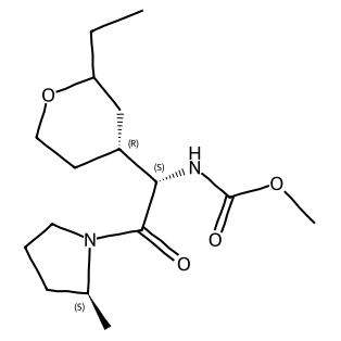 CCC1C[C@H]([C@H](NC(=O)OC)C(=O)N2CCC[C@@H]2C)CCO1